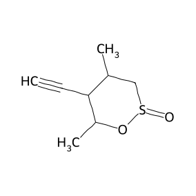 C#CC1C(C)CS(=O)OC1C